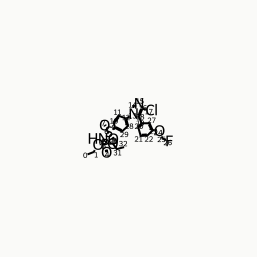 CCOP(=O)(NS(=O)(=O)c1ccc(-n2cnc(Cl)c2-c2cccc(OCF)c2)cc1)OCC